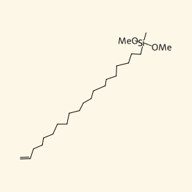 C=CCCCCCCCCCCCCCCCCCC[Si](C)(OC)OC